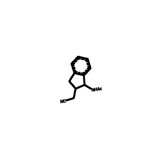 CC(=O)NC1c2ccccc2CC1CC#N